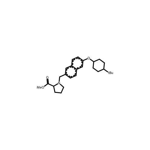 COC(=O)C1CCCN1Cc1ccc2cc(OC3CCC(C(C)(C)C)CC3)ccc2c1